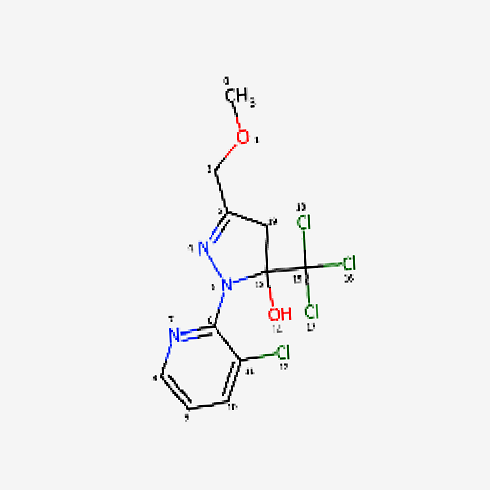 COCC1=NN(c2ncccc2Cl)C(O)(C(Cl)(Cl)Cl)C1